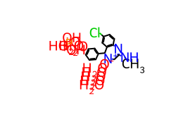 CNC1=Nc2ccc(Cl)cc2C(c2ccccc2)=[N+]([O-])C1.O.O.O.O.O.O.O.O=P(O)(O)O